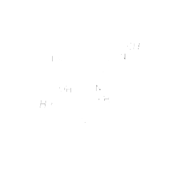 Cc1cc(CC(C)(O)c2ccccc2)c2c(c1)c1c(n2C)CCN(C)C1